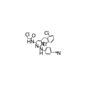 N#Cc1ccc(Nc2nc(Cc3c(Cl)cccc3Cl)cc(NC(=O)CCl)n2)cc1